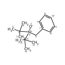 CC(C)(C)[N+]([O-])(Cc1ccccc1)C(C)(C)C